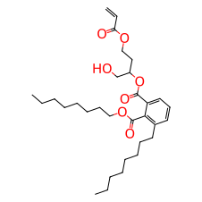 C=CC(=O)OCCC(CO)OC(=O)c1cccc(CCCCCCCC)c1C(=O)OCCCCCCCC